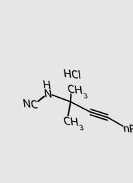 CCCC#CC(C)(C)NC#N.Cl